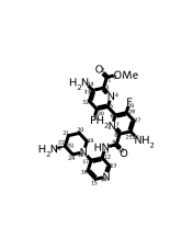 COC(=O)c1nc(-c2nc(C(=O)Nc3cnccc3N3CCC[C@H](N)C3)c(N)cc2F)c(P)cc1N